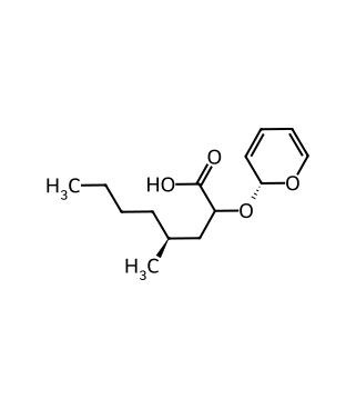 CCCC[C@H](C)CC(O[C@@H]1C=CC=CO1)C(=O)O